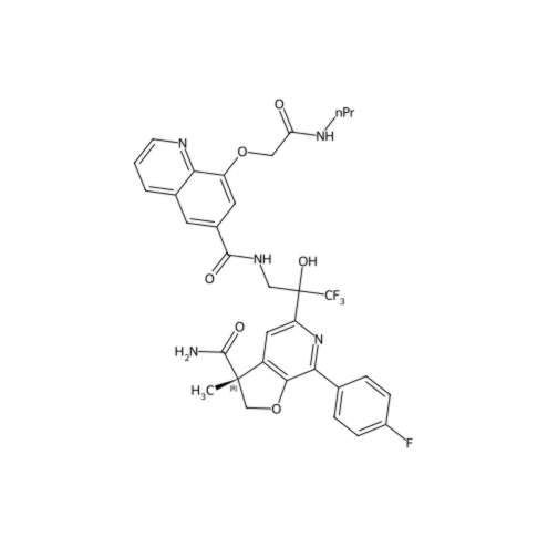 CCCNC(=O)COc1cc(C(=O)NCC(O)(c2cc3c(c(-c4ccc(F)cc4)n2)OC[C@]3(C)C(N)=O)C(F)(F)F)cc2cccnc12